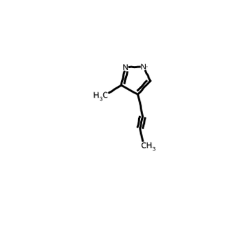 CC#CC1=C[N]N=C1C